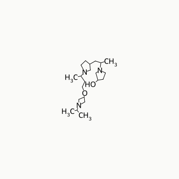 CC(C)N1CC(OCCC(C)N2CCC(CC(C)N3CCC(O)C3)C2)C1